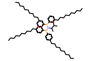 CCCCCCCCCCc1ccc(P(c2ccc(CCCCCCCCCC)cc2)N(C(C)C(C)C)P(c2cccc(CCCCCCCCCC)c2)c2cccc(CCCCCCCCCC)c2)cc1